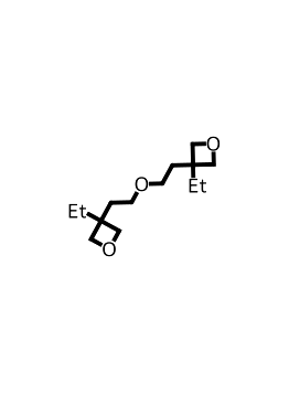 CCC1(CCOCCC2(CC)COC2)COC1